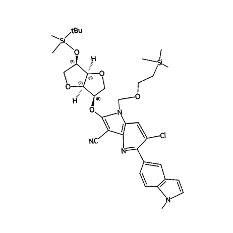 Cn1ccc2cc(-c3nc4c(C#N)c(O[C@@H]5CO[C@H]6[C@@H]5OC[C@H]6O[Si](C)(C)C(C)(C)C)n(COCC[Si](C)(C)C)c4cc3Cl)ccc21